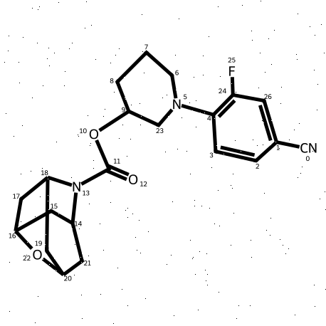 N#Cc1ccc(N2CCCC(OC(=O)N3C4CC5CC3CC(C4)O5)C2)c(F)c1